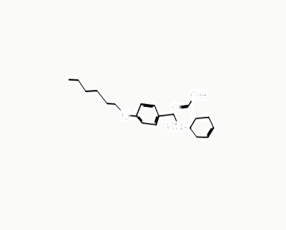 CCCCCCOc1ccc(CN[C@H]2CC=CC[C@H]2C(=O)O)cc1